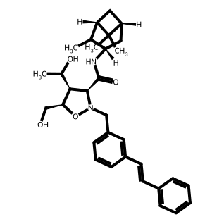 CC(O)[C@@H]1[C@H](CO)ON(Cc2cccc(/C=C/c3ccccc3)c2)[C@@H]1C(=O)N[C@H]1C[C@H]2C[C@@H](C1C)C2(C)C